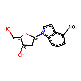 O=[N+]([O-])c1cccc2c1ccn2[C@H]1C[C@@H](O)[C@@H](CO)O1